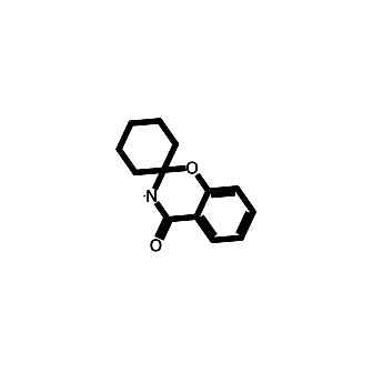 O=C1[N]C2(CCCCC2)Oc2ccccc21